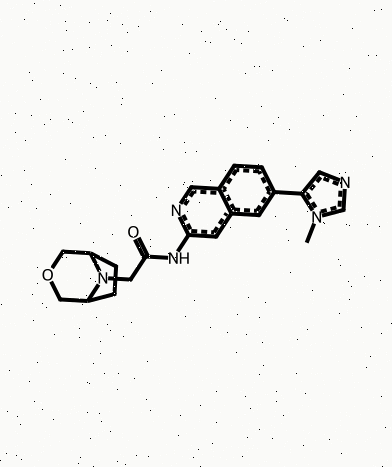 Cn1cncc1-c1ccc2cnc(NC(=O)CN3C4CCC3COC4)cc2c1